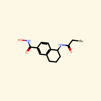 CC(C)(C)CC(=O)NC1CCCc2cc(C(=O)NO)ccc21